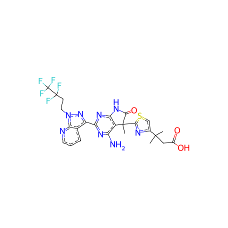 CC(C)(CC(=O)O)c1csc(C2(C)C(=O)Nc3nc(-c4nn(CCC(F)(F)C(F)(F)F)c5ncccc45)nc(N)c32)n1